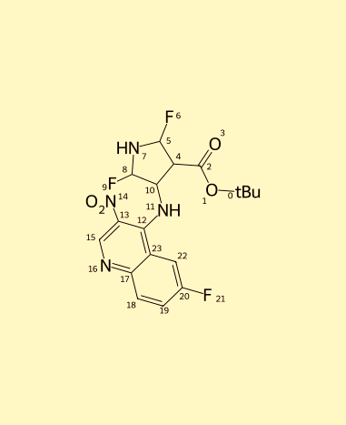 CC(C)(C)OC(=O)C1C(F)NC(F)C1Nc1c([N+](=O)[O-])cnc2ccc(F)cc12